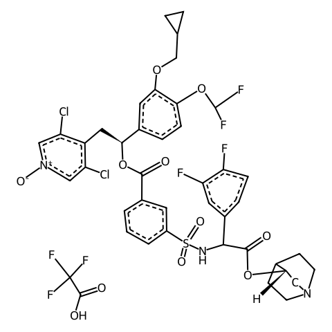 O=C(O)C(F)(F)F.O=C(O[C@@H](Cc1c(Cl)c[n+]([O-])cc1Cl)c1ccc(OC(F)F)c(OCC2CC2)c1)c1cccc(S(=O)(=O)NC(C(=O)O[C@H]2CN3CCC2CC3)c2ccc(F)c(F)c2)c1